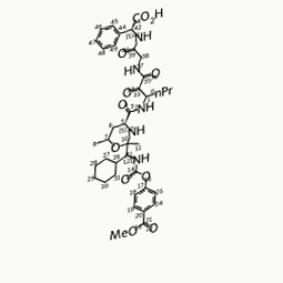 CCCC(NC(=O)[C@@H]1CC(C)OC(C)([C@@H](NC(=O)Oc2ccc(C(=O)OC)cc2)C2CCCCC2)N1)C(=O)C(=O)NCC(=O)N[C@H](C(=O)O)c1ccccc1